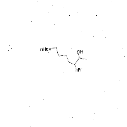 CCCCCCCCCCC(CCC)C(C)O